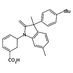 C=C1N(C2C=CC=C(C(=O)O)C2)c2cc(C)ccc2C1(C)c1ccc(C(C)(C)C)cc1